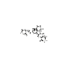 Cc1ccccc1OCC(O)Cn1c(=N)n(Cc2ccccc2)c2ccccc21